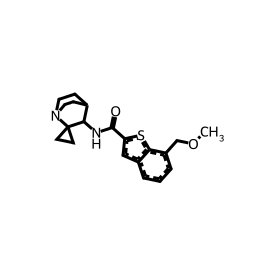 COCc1cccc2cc(C(=O)NC3C4CCN(CC4)C34CC4)sc12